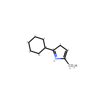 O=C(O)C1=CCC(C2CCCCC2)=N1